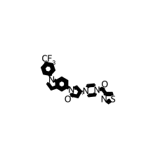 O=C(c1cscn1)N1CCN([C@@H]2CC(=O)N(c3ccc4c(c3)CCN4c3ccc(C(F)(F)F)cc3)C2)CC1